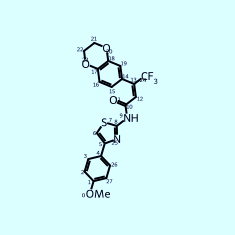 COc1ccc(-c2csc(NC(=O)/C=C(\c3ccc4c(c3)OCCO4)C(F)(F)F)n2)cc1